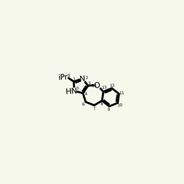 CC(C)c1nc2c([nH]1)CCc1ccccc1O2